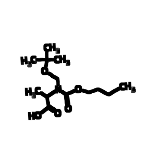 CCCCOC(=O)N(COC(C)(C)C)C(C)C(=O)O